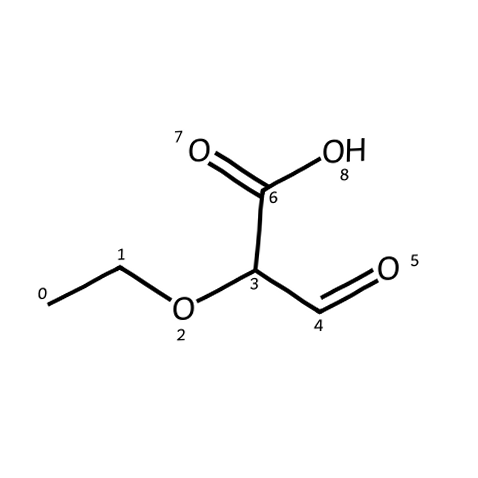 CCOC(C=O)C(=O)O